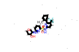 Cc1ccccc1-c1nc(NS(=O)(=O)c2cccc(NC3COCCC3O)n2)ccc1C(F)(F)F